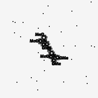 COC1=CC=C(P(=Nc2ccc(-c3ccc(C4=CC=C(N=P(c5ccc(OC)cc5)(c5ccc(OC)cc5)c5ccc(OC)cc5)CCC4)cc3)cc2)(c2ccc(OC)cc2)c2ccc(OC)cc2)CC=C1